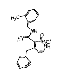 Cc1ccccc1CNC(=N)c1c(Cc2ccccc2)cc[nH]c1=O.Cl